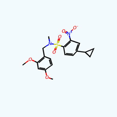 COc1ccc(CN(C)S(=O)(=O)c2ccc(C3CC3)cc2[N+](=O)[O-])c(OC)c1